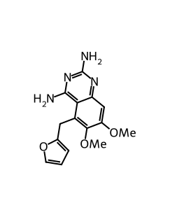 COc1cc2nc(N)nc(N)c2c(Cc2ccco2)c1OC